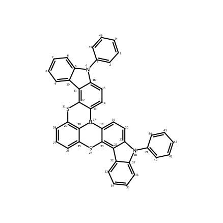 c1ccc(-n2c3ccccc3c3c4c(ccc32)B2c3ccc5c(c3Sc3cccc(c32)S4)c2ccccc2n5-c2ccccc2)cc1